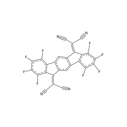 N#CC(C#N)=C1c2cc3c(cc2-c2c(F)c(F)c(F)c(F)c21)C(=C(C#N)C#N)c1c(F)c(F)c(F)c(F)c1-3